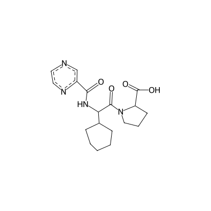 O=C(NC(C(=O)N1CCCC1C(=O)O)C1CCCCC1)c1cnccn1